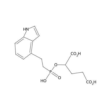 O=C(O)CCC(OP(=O)(O)CCc1cccc2[nH]ccc12)C(=O)O